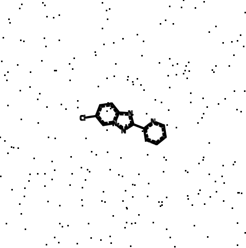 Clc1ccc2nc(-c3ccccn3)nn2c1